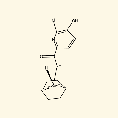 O=C(N[C@@H]1CC2CCN(CC2)C1)c1ccc(O)c(Cl)n1